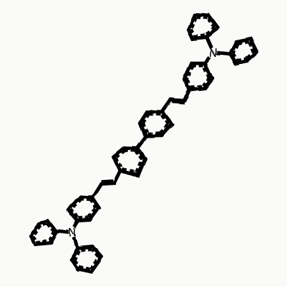 C(=C\c1ccc(N(c2ccccc2)c2ccccc2)cc1)/c1ccc(-c2ccc(/C=C/c3ccc(N(c4ccccc4)c4ccccc4)cc3)cc2)cc1